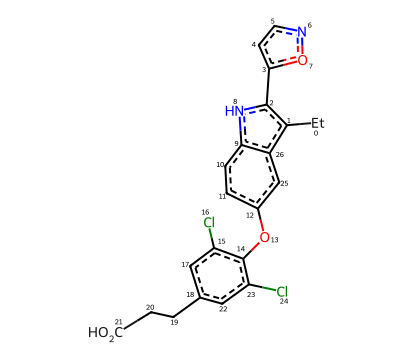 CCc1c(-c2ccno2)[nH]c2ccc(Oc3c(Cl)cc(CCC(=O)O)cc3Cl)cc12